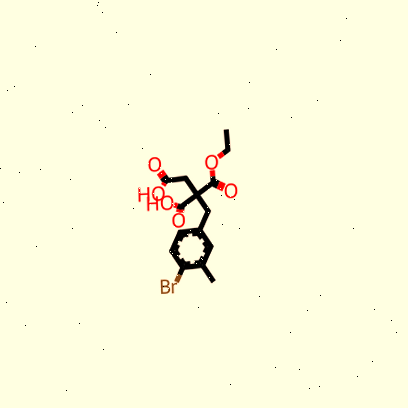 CCOC(=O)C(CC(=O)O)(Cc1ccc(Br)c(C)c1)C(=O)O